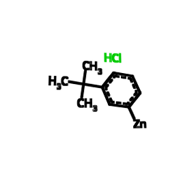 CC(C)(C)c1ccc[c]([Zn])c1.Cl